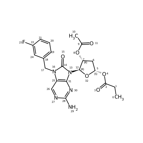 CCC(=O)O[C@H]1C[C@@H](OC(C)=O)[C@H](n2c(=O)n(Cc3cccc(F)c3)c3cnc(N)nc32)O1